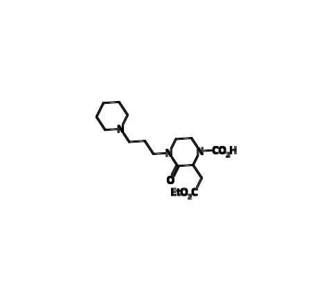 CCOC(=O)CC1C(=O)N(CCCN2CCCCC2)CCN1C(=O)O